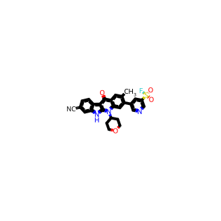 Cc1cc2c(=O)c3c4ccc(C#N)cc4[nH]c3n(C3CCOCC3)c2cc1-c1cncc(S(=O)(=O)F)c1